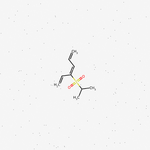 C=C/C=C(\C=C)S(=O)(=O)C(C)C